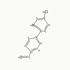 O=Cc1ccc(-c2ccc(Cl)cn2)cc1